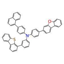 c1cc(-c2cccc3c2sc2ccccc23)cc(N(c2ccc(-c3ccc4c(c3)oc3ccccc34)cc2)c2ccc(-c3cccc4ccccc34)cc2)c1